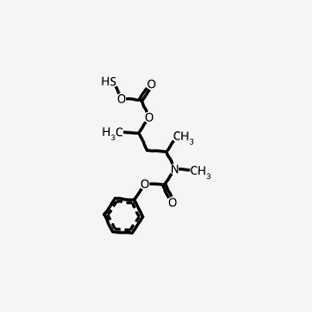 CC(CC(C)N(C)C(=O)Oc1ccccc1)OC(=O)OS